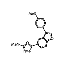 CNc1nnc(-c2ccc3occ(-c4ccc(SC)cc4)c3c2)o1